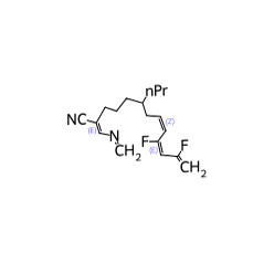 C=N/C=C(/C#N)CCCC(C/C=C\C(F)=C/C(=C)F)CCC